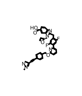 Cn1cc(C#Cc2ccc(COc3cccc(-c4cc(F)c(Cc5nc6ccc(C(=O)O)cc6n5C[C@@H]5CCO5)cc4F)n3)cc2)cn1